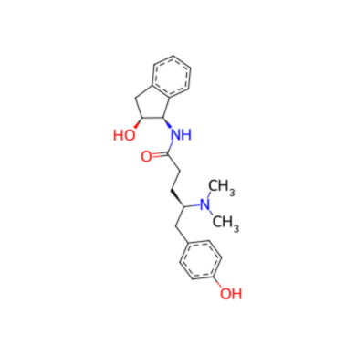 CN(C)[C@H](CCC(=O)N[C@@H]1c2ccccc2C[C@@H]1O)Cc1ccc(O)cc1